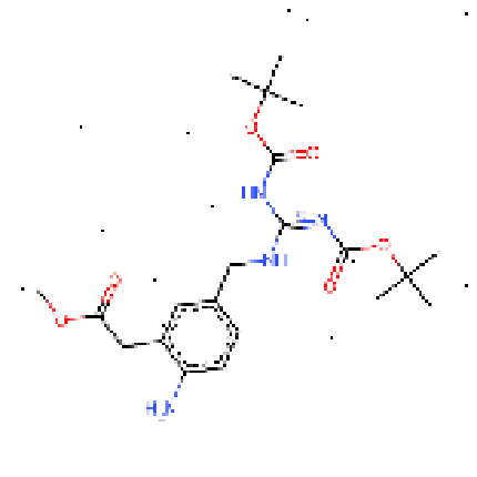 COC(=O)Cc1cc(CN/C(=N\C(=O)OC(C)(C)C)NC(=O)OC(C)(C)C)ccc1N